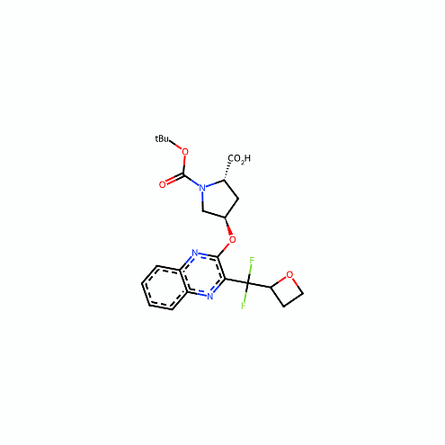 CC(C)(C)OC(=O)N1C[C@H](Oc2nc3ccccc3nc2C(F)(F)C2CCO2)C[C@H]1C(=O)O